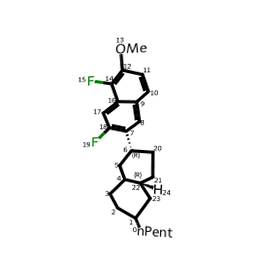 CCCCCC1CCC2C[C@H](c3cc4ccc(OC)c(F)c4cc3F)CC[C@@H]2C1